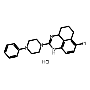 Cl.Clc1ccc2c3c1CCCC3N=C(N1CCN(c3ccccc3)CC1)N2